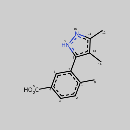 Cc1ccc(C(=O)O)cc1-c1[nH]nc(C)c1C